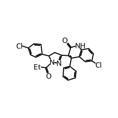 CCC(=O)N1N=C(c2c(-c3ccccc3)c3cc(Cl)ccc3[nH]c2=O)CC1c1ccc(Cl)cc1